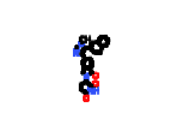 Cn1cnc(-c2ccc3c(c2)CN(C2CCC(=O)NC2=O)C3=O)c1-c1ccc2ccccc2c1